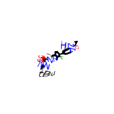 Cc1c([C@@H](C)NC(=O)c2nc(C(C)(C)C)no2)ccc(-c2ccnc(NC(=O)C3CC3)c2)c1F